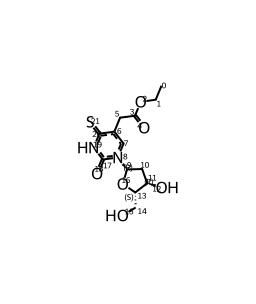 CCOC(=O)Cc1cn([C@H]2C[C@@H](O)[C@H](CO)O2)c(=O)[nH]c1=S